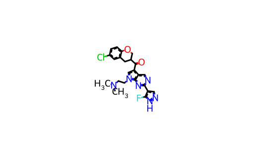 CN(C)CCn1cc(C(=O)C2COc3ccc(Cl)cc3C2)c2cnc(-c3cn[nH]c3F)nc21